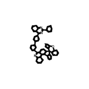 c1ccc(-c2nc(-c3ccc(-c4cccc(-c5nc6ccccc6c6c7c(ccc56)C5(c6ccccc6Oc6ccccc65)c5ccccc5-7)c4)cc3)c3ccccc3n2)cc1